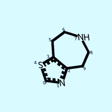 [c]1nc2c(s1)CCNCC2